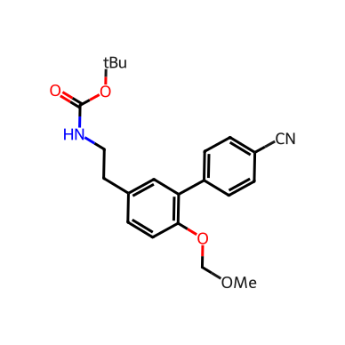 COCOc1ccc(CCNC(=O)OC(C)(C)C)cc1-c1ccc(C#N)cc1